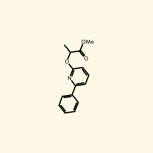 COC(=O)C(C)Oc1cccc(-c2ccccc2)n1